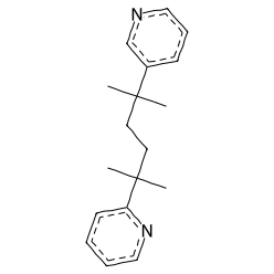 CC(C)(CCC(C)(C)c1ccccn1)c1cccnc1